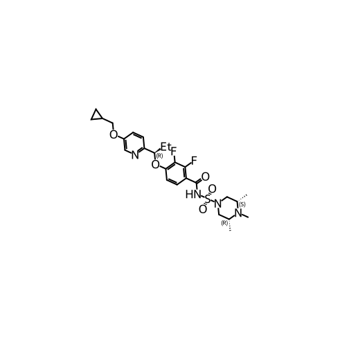 CC[C@@H](Oc1ccc(C(=O)NS(=O)(=O)N2C[C@@H](C)N(C)[C@@H](C)C2)c(F)c1F)c1ccc(OCC2CC2)cn1